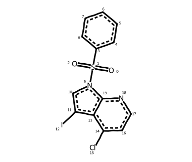 O=S(=O)(c1ccccc1)n1cc(I)c2c(Cl)ccnc21